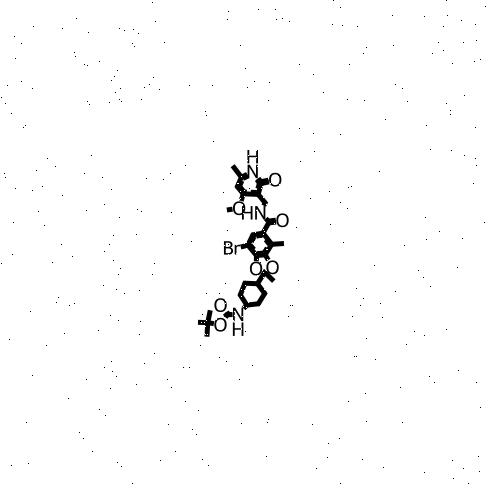 COc1cc(C)[nH]c(=O)c1CNC(=O)c1cc(Br)c2c(c1C)OC(C)(C1CCC(NC(=O)OC(C)(C)C)CC1)O2